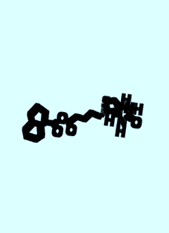 O=C1N[C@H]2[C@H](CS[C@H]2CCCCC(=O)OC(=O)c2cccc3ccccc23)N1